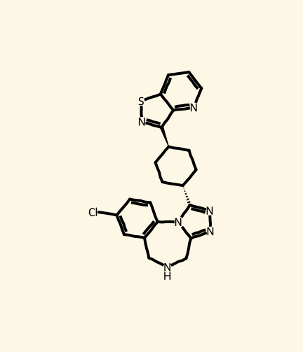 Clc1ccc2c(c1)CNCc1nnc([C@H]3CC[C@H](c4nsc5cccnc54)CC3)n1-2